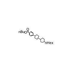 CCCCCCC1CCC(C2CCC(c3ccc(C(=O)OCCCC)cc3)CC2)CC1